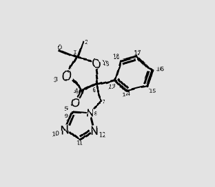 CC1(C)OC(=O)C(Cn2cncn2)(c2ccccc2)O1